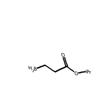 BCCC(=O)OC(C)C